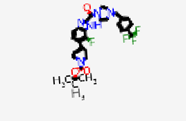 CC(C)(C)OC(=O)N1CC=C(c2ccc3nc(C(=O)N4CCN(Cc5ccc(C(F)(F)F)cc5)CC4)[nH]c3c2F)CC1